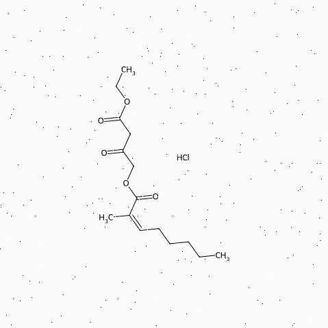 CCCCCC=C(C)C(=O)OCC(=O)CC(=O)OCC.Cl